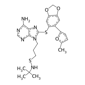 Cc1ccc(-c2cc3c(cc2Sc2nc4c(N)ncnc4n2CCCSNC(C)(C)C)OCO3)o1